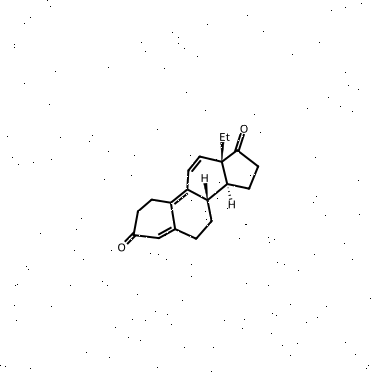 CC[C@]12C=CC3=C4CCC(=O)C=C4CC[C@H]3[C@@H]1CCC2=O